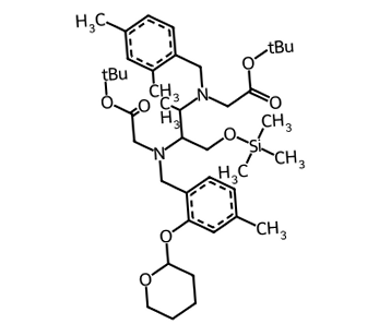 Cc1ccc(CN(CC(=O)OC(C)(C)C)C(C)C(CO[Si](C)(C)C)N(CC(=O)OC(C)(C)C)Cc2ccc(C)cc2OC2CCCCO2)c(C)c1